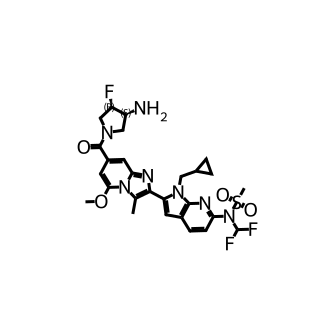 COc1cc(C(=O)N2C[C@@H](F)[C@@H](N)C2)cc2nc(-c3cc4ccc(N(C(F)F)S(C)(=O)=O)nc4n3CC3CC3)c(C)n12